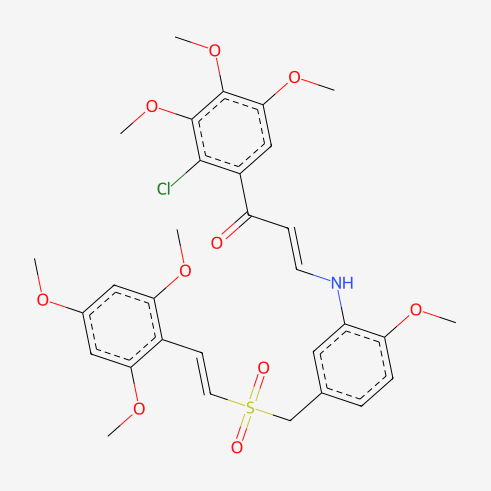 COc1cc(OC)c(/C=C/S(=O)(=O)Cc2ccc(OC)c(N/C=C/C(=O)c3cc(OC)c(OC)c(OC)c3Cl)c2)c(OC)c1